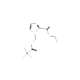 CCOC(=O)c1nccn1COC(=O)C(C)(C)C